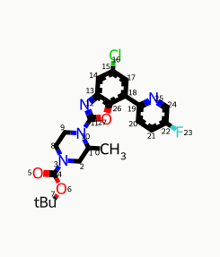 CC1CN(C(=O)OC(C)(C)C)CCN1c1nc2cc(Cl)cc(-c3ccc(F)cn3)c2o1